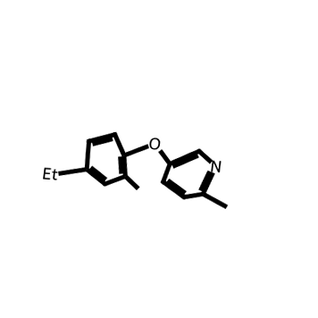 CCc1ccc(Oc2ccc(C)nc2)c(C)c1